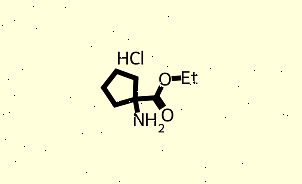 CCOC(=O)C1(N)CCCC1.Cl